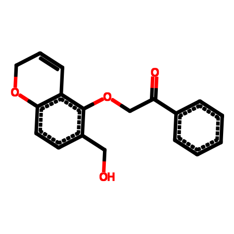 O=C(COc1c(CO)ccc2c1C=CCO2)c1ccccc1